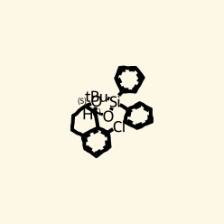 CC(C)(C)[Si](O[C@]12O[C@H]1CCc1cccc(Cl)c12)(c1ccccc1)c1ccccc1